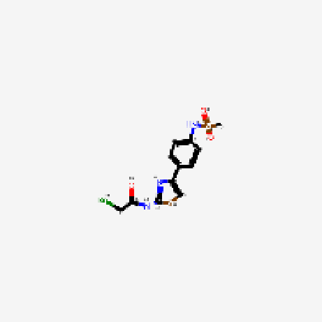 CS(=O)(=O)Nc1ccc(-c2csc(NC(=O)CBr)n2)cc1